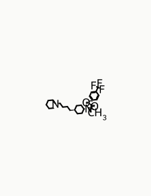 CN([C@H]1CC[C@H](CCCCN2CCCCC2)CC1)S(=O)(=O)c1ccc(C(F)(F)F)cc1